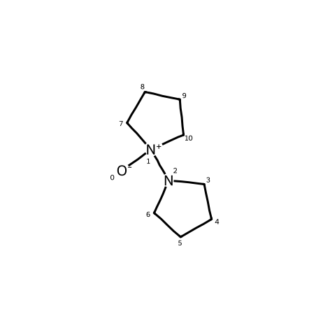 [O-][N+]1(N2CCCC2)CCCC1